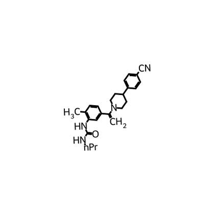 C=C(c1ccc(C)c(NC(=O)NCCC)c1)N1CCC(c2ccc(C#N)cc2)CC1